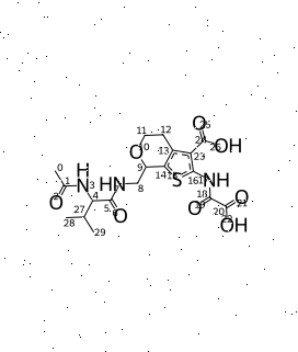 CC(=O)NC(C(=O)NCC1OCCc2c1sc(NC(=O)C(=O)O)c2C(=O)O)C(C)C